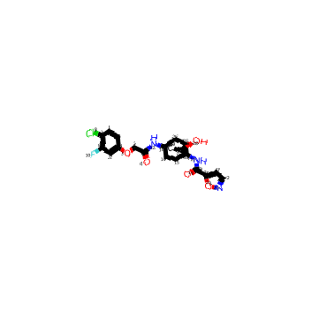 O=C(COc1ccc(Cl)c(F)c1)NC12CCC(NC(=O)c3ccno3)(CC1)C(O)C2